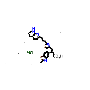 Cc1nc2cc(C(CC(=O)O)Cc3csc(CCCc4ccc5c(n4)NCCC5)n3)ccc2s1.Cl